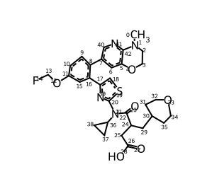 CN1CCOc2cc(-c3ccc(OCF)cc3-c3csc(N(C(=O)C(CC(=O)O)CC4CCOCC4)C4CC4)n3)cnc21